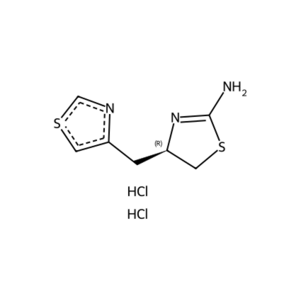 Cl.Cl.NC1=N[C@H](Cc2cscn2)CS1